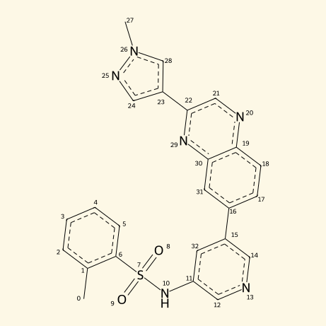 Cc1ccccc1S(=O)(=O)Nc1cncc(-c2ccc3ncc(-c4cnn(C)c4)nc3c2)c1